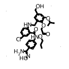 CCCOC(=O)COc1c(CNc2ccc(Cl)cc2C(=O)Nc2ccc(/C(N)=N/O)cc2)cc(CO)cc1OC(C)C